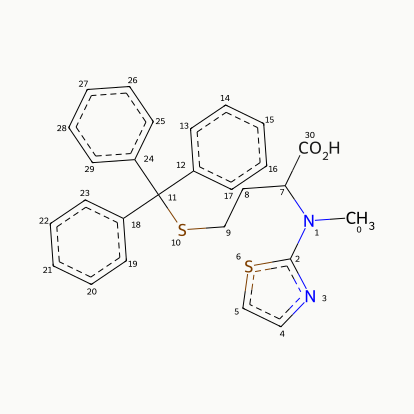 CN(c1nccs1)C(CCSC(c1ccccc1)(c1ccccc1)c1ccccc1)C(=O)O